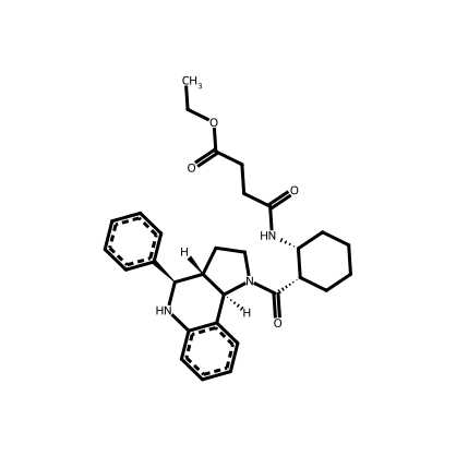 CCOC(=O)CCC(=O)N[C@@H]1CCCC[C@@H]1C(=O)N1CC[C@H]2[C@H](c3ccccc3)Nc3ccccc3[C@@H]21